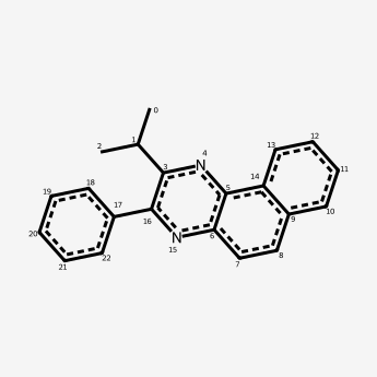 CC(C)c1nc2c(ccc3ccccc32)nc1-c1ccccc1